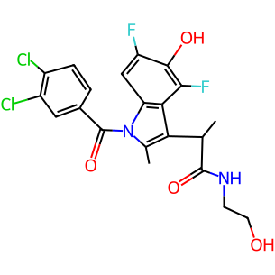 Cc1c(C(C)C(=O)NCCO)c2c(F)c(O)c(F)cc2n1C(=O)c1ccc(Cl)c(Cl)c1